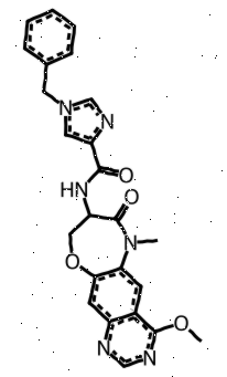 COc1ncnc2cc3c(cc12)N(C)C(=O)C(NC(=O)c1cn(Cc2ccccc2)cn1)CO3